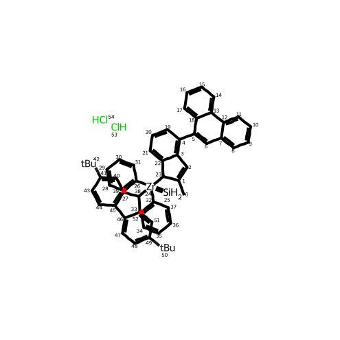 CC1=Cc2c(-c3cc4ccccc4c4ccccc34)cccc2[CH]1[Zr](=[SiH2])([c]1ccccc1)([c]1ccccc1)[CH]1c2cc(C(C)(C)C)ccc2-c2ccc(C(C)(C)C)cc21.Cl.Cl